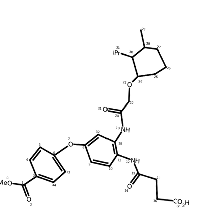 COC(=O)c1ccc(Oc2ccc(NC(=O)CCC(=O)O)c(NC(=O)COC3CCCC(C)C3C(C)C)c2)cc1